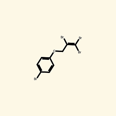 BrC(Br)=C(Br)COc1ccc(Br)cc1